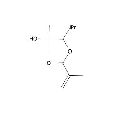 C=C(C)C(=O)OC(C(C)C)C(C)(C)O